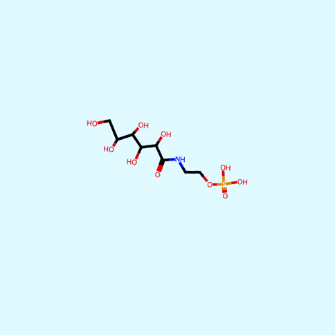 O=C(NCCOP(=O)(O)O)C(O)C(O)C(O)C(O)CO